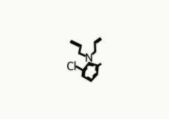 C=CCN(CC=C)c1c(C)cccc1Cl